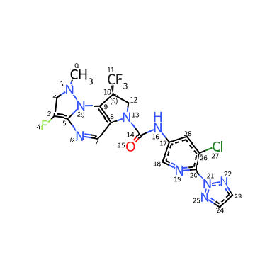 CN1CC(F)=C2N=CC3=C([C@@H](C(F)(F)F)CN3C(=O)Nc3cnc(-n4nccn4)c(Cl)c3)N21